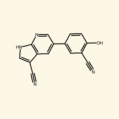 N#Cc1cc(-c2cnc3[nH]cc(C#N)c3c2)ccc1O